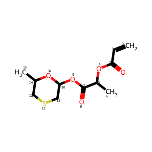 C=CC(=O)OC(C)C(=O)OC1CSCC(C)O1